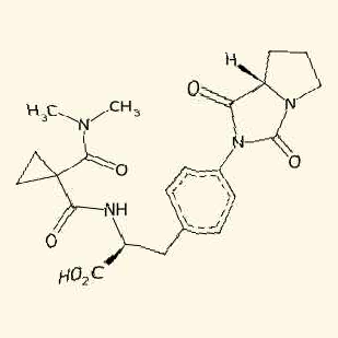 CN(C)C(=O)C1(C(=O)N[C@@H](Cc2ccc(N3C(=O)[C@@H]4CCCN4C3=O)cc2)C(=O)O)CC1